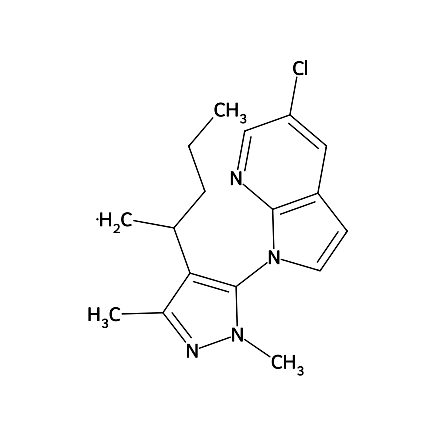 [CH2]C(CCC)c1c(C)nn(C)c1-n1ccc2cc(Cl)cnc21